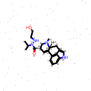 CC(C)N(NCCO)C(=O)[C@@H]1C=C2c3cccc4[nH]cc(c34)C[C@H]2N(C)C1